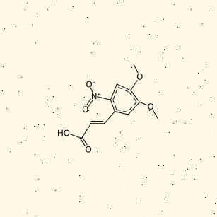 COc1cc(C=CC(=O)O)c([N+](=O)[O-])cc1OC